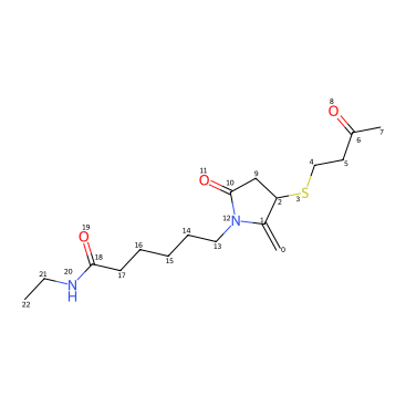 C=C1C(SCCC(C)=O)CC(=O)N1CCCCCC(=O)NCC